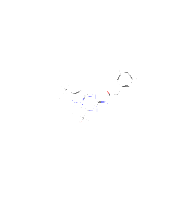 CC(C)(O)CN/C(=N/C(=O)Cc1ccccc1)Nc1cc(C(F)(F)F)[nH]n1